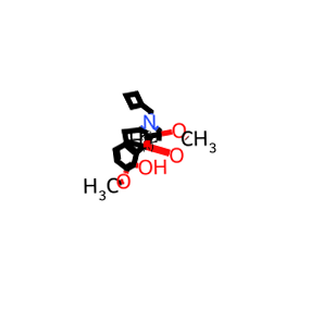 COc1ccc2c(c1O)[C@@]13CCN(CC4CCC4)C(C2)[C@H]1CC(OC)C(=O)C3